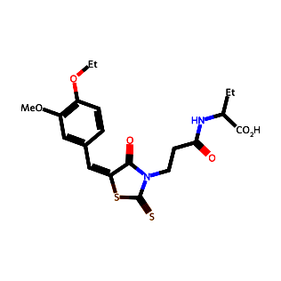 CCOc1ccc(/C=C2/SC(=S)N(CCC(=O)NC(CC)C(=O)O)C2=O)cc1OC